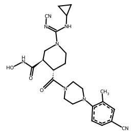 Cc1cc(C#N)ccc1N1CCN(C(=O)[C@H]2CCN(/C(=N/C#N)NC3CC3)C[C@@H]2C(=O)NO)CC1